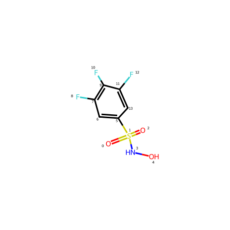 O=S(=O)(NO)c1cc(F)c(F)c(F)c1